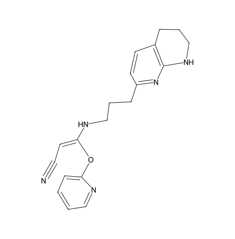 N#CC=C(NCCCc1ccc2c(n1)NCCC2)Oc1ccccn1